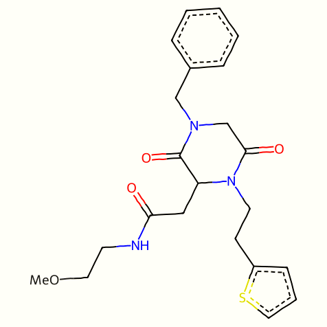 COCCNC(=O)CC1C(=O)N(Cc2ccccc2)CC(=O)N1CCc1cccs1